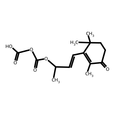 CC1=C(C=CC(C)OC(=O)OC(=O)O)C(C)(C)CCC1=O